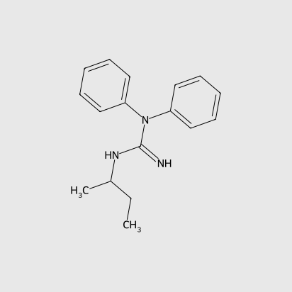 CCC(C)NC(=N)N(c1ccccc1)c1ccccc1